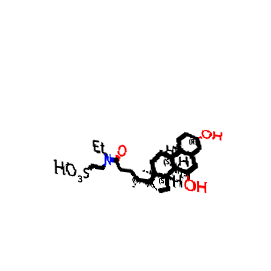 CCN(CCS(=O)(=O)O)C(=O)CC[C@@H](C)[C@H]1CC[C@H]2[C@@H]3[C@@H](O)CC4C[C@H](O)CC[C@]4(C)[C@H]3CC[C@]12C